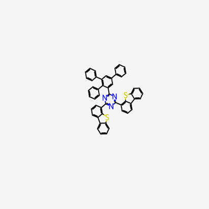 c1ccc(-c2cc(-c3ccccc3)c(-c3ccccc3)c(-c3nc(-c4cccc5c4sc4ccccc45)nc(-c4cccc5c4sc4ccccc45)n3)c2)cc1